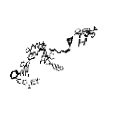 CCOC(=O)c1ccccc1NC(=O)O[C@@H]1C[C@@H](C(N)=O)N(C(=O)[C@H](CCCCC/C=C\[C@@H]2C[C@@H]2C(=O)NS(=O)(=O)C2CC2)NC(=O)OC(C)(C)C)C1